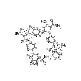 CN(c1ccc(-c2cc(C(N)=O)c(O)cc2F)nn1)[C@]1(c2ncccc2F)C[C@@H](F)C1.COc1cc(F)c(-c2ccc(N(C[C@]3(c4ncccc4F)C[C@H](F)C3)C(=O)OC(C)(C)C)nn2)cc1C(N)=O